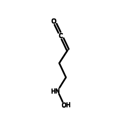 O=C=CCCNO